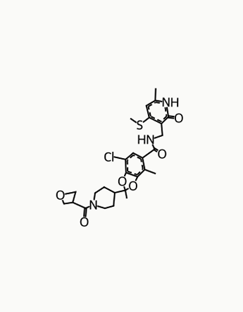 CSc1cc(C)[nH]c(=O)c1CNC(=O)c1cc(Cl)c2c(c1C)OC(C)(C1CCN(C(=O)C3COC3)CC1)O2